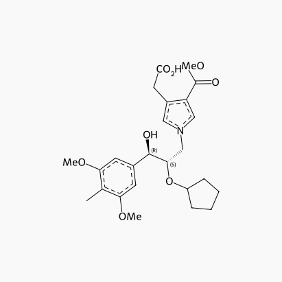 COC(=O)c1cn(C[C@H](OC2CCCC2)[C@H](O)c2cc(OC)c(C)c(OC)c2)cc1CC(=O)O